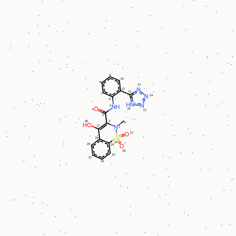 CN1C(C(=O)Nc2ccccc2-c2nnn[nH]2)=C(O)c2ccccc2S1(=O)=O